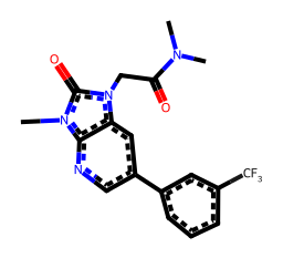 CN(C)C(=O)Cn1c(=O)n(C)c2ncc(-c3cccc(C(F)(F)F)c3)cc21